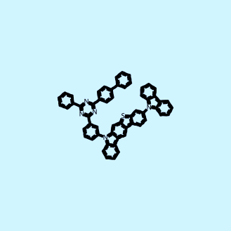 c1ccc(-c2ccc(-c3nc(-c4ccccc4)nc(-c4cccc(-n5c6ccccc6c6cc7c(cc65)sc5cc(-n6c8ccccc8c8ccccc86)ccc57)c4)n3)cc2)cc1